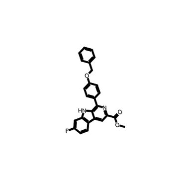 COC(=O)c1cc2c([nH]c3cc(F)ccc32)c(-c2ccc(OCc3ccccc3)cc2)n1